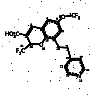 O=C(O)C1=Cc2cc(OC(F)(F)F)cc(CCc3ccncc3)c2OC1C(F)(F)F